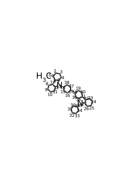 Cc1cccc2c1c1ccccc1n2-c1ccc(-c2ccc3c4ccccc4n(-c4ccccc4)c3c2)cc1